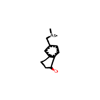 C[As](C)Cc1ccc2c(c1)CCC2=O